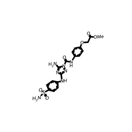 COC(=O)COc1ccc(NC(=O)n2nc(Nc3ccc(S(N)(=O)=O)cc3)nc2N)cc1